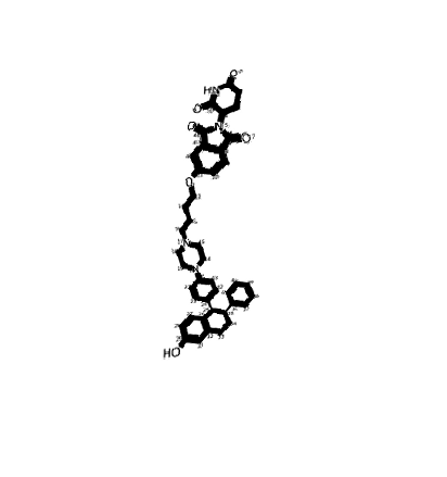 O=C1CCC(N2C(=O)c3ccc(OCCCCN4CCN(c5ccc([C@@H]6c7ccc(O)cc7CC[C@@H]6c6ccccc6)cc5)CC4)cc3C2=O)C(=O)N1